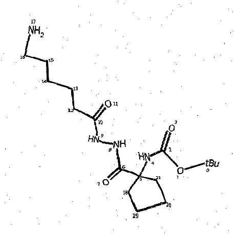 CC(C)(C)OC(=O)NC1(C(=O)NNC(=O)CCCCCN)CCCC1